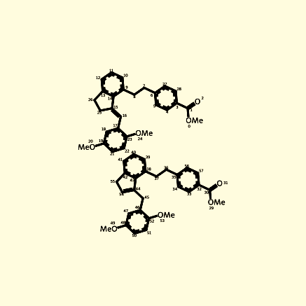 COC(=O)c1ccc(CCc2cccc3c2/C(=C/c2cc(OC)ccc2OC)CC3)cc1.COC(=O)c1ccc(CCc2cccc3c2C(Cc2cc(OC)ccc2OC)=CC3)cc1